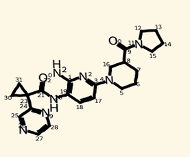 Nc1nc(N2CCCC(C(=O)N3CCCC3)C2)ccc1NC(=O)C1(c2cnccn2)CC1